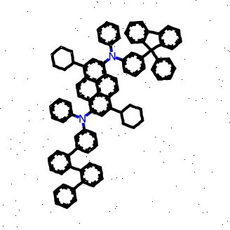 c1ccc(-c2ccccc2-c2ccccc2-c2cccc(N(c3ccccc3)c3cc(C4CCCCC4)c4ccc5c(N(c6ccccc6)c6cccc(C7(c8ccccc8)c8ccccc8-c8ccccc87)c6)cc(C6CCCCC6)c6ccc3c4c65)c2)cc1